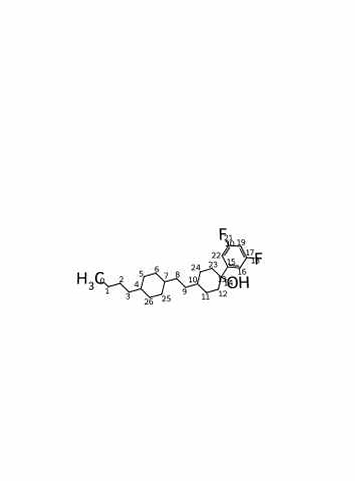 CCCCC1CCC(CCC2CCC(O)(c3cc(F)cc(F)c3)CC2)CC1